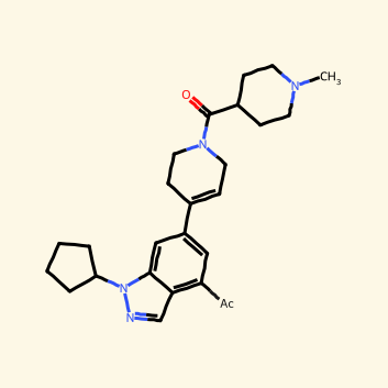 CC(=O)c1cc(C2=CCN(C(=O)C3CCN(C)CC3)CC2)cc2c1cnn2C1CCCC1